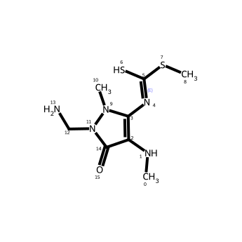 CNc1c(/N=C(\S)SC)n(C)n(CN)c1=O